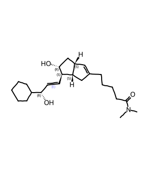 CN(C)C(=O)CCCCC1=C[C@H]2C[C@@H](O)[C@H](/C=C/[C@H](O)C3CCCCC3)[C@H]2C1